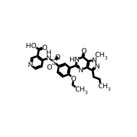 CCCc1nn(C)c2c(=O)[nH]c(-c3cc(S(=O)(=O)Nc4ccncc4C(=O)O)ccc3OCC)nc12